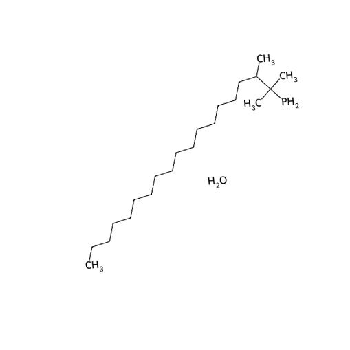 CCCCCCCCCCCCCCCCC(C)C(C)(C)P.O